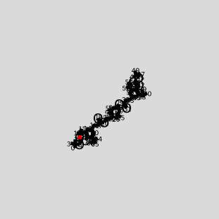 CC(C)(C)OC(=O)Oc1c(C(C)(C)C)cc(CCC(=O)OCCN2C(C)(C)CC(OC(=O)CCc3cc(C(C)(C)C)c(OC(=O)OC(C)(C)C)c(C(C)(C)C)c3)CC2(C)C)cc1C(C)(C)C